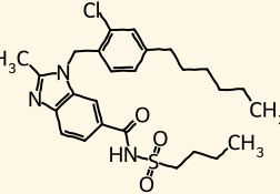 CCCCCCc1ccc(Cn2c(C)nc3ccc(C(=O)NS(=O)(=O)CCCC)cc32)c(Cl)c1